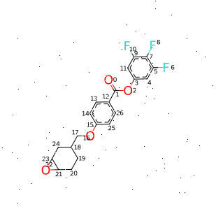 O=C(Oc1cc(F)c(F)c(F)c1)c1ccc(OCC2CCC3OC3C2)cc1